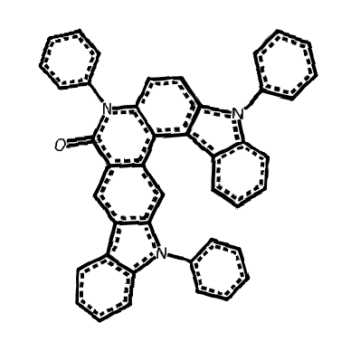 O=c1c2cc3c4ccccc4n(-c4ccccc4)c3cc2c2c3c4ccccc4n(-c4ccccc4)c3ccc2n1-c1ccccc1